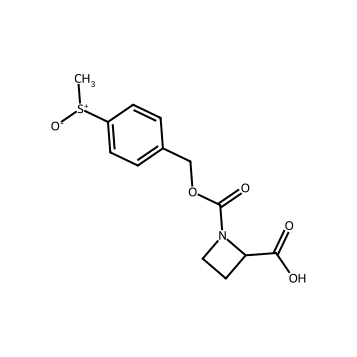 C[S+]([O-])c1ccc(COC(=O)N2CCC2C(=O)O)cc1